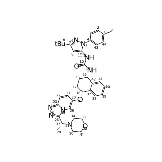 Cc1ccc(-n2nc(C(C)(C)C)cc2NC(=O)N[C@H]2CC[C@@H](Oc3ccc4nnc([C@@H](C)N5CCOCC5)n4c3)c3ccccc32)cc1